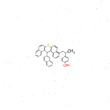 CC(Cc1cccc2c3c(ccc12)Sc1ccc2ccccc2c1C3c1ccc2ccccc2c1)c1ccc(O)cc1